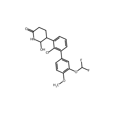 COc1ccc(-c2cccc(C3CCC(=O)NC3O)c2Cl)cc1OC(F)F